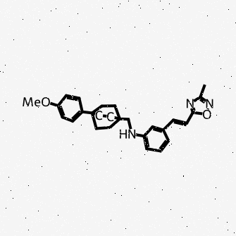 COc1ccc(C23CCC(CNc4cccc(C=Cc5nc(C)no5)c4)(CC2)CC3)cc1